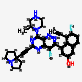 C#Cc1c(F)ccc2cc(O)cc(-c3nnc4c(N5CCNC[C@@H]5C)nc(C#CC56CCCN5CCC6)nc4c3F)c12